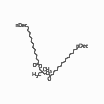 CCCCCCCCCCCCCCCCCCCCCCCC(=O)OCC(C)(C)COC(=O)CCCCCCCCCCCCCCCCCCCCCCC